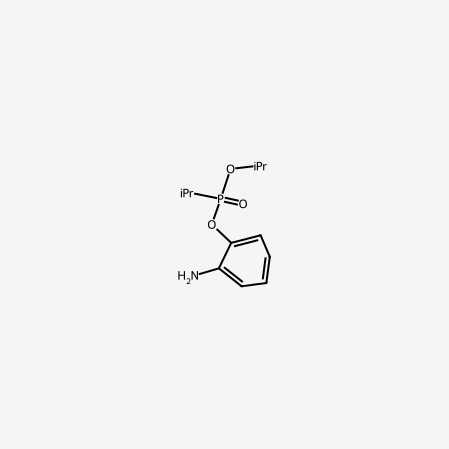 CC(C)OP(=O)(Oc1ccccc1N)C(C)C